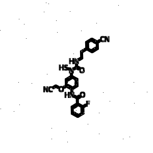 N#CCOc1cc(N(S)C(=O)NCCc2ccc(C#N)cc2)ccc1NC(=O)c1ccccc1F